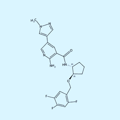 Cn1cc(-c2cnc(N)c(C(=O)N[C@@H]3CCC[C@H]3OCc3cc(F)c(F)cc3F)c2)cn1